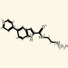 O=C(O)NCCNC(=O)c1cc2cc(-c3ccncc3)ccc2[nH]1